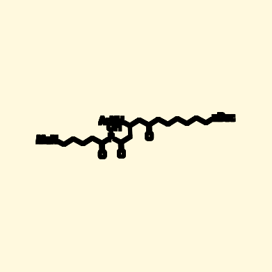 CCCCCCCCCCCCCCCCC(=O)CC(CC(=O)P(O)C(=O)CCCCNC)NC(C)=O